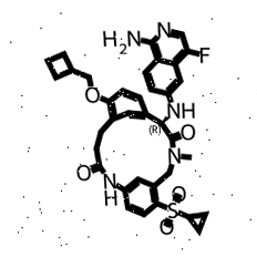 CN1Cc2cc(ccc2S(=O)(=O)C2CC2)NC(=O)CCc2cc(ccc2OCC2CCC2)[C@@H](Nc2ccc3c(N)ncc(F)c3c2)C1=O